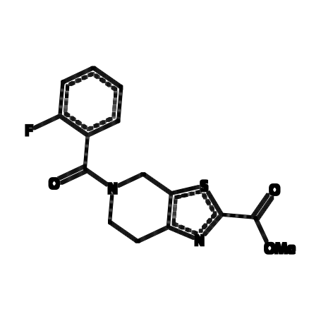 COC(=O)c1nc2c(s1)CN(C(=O)c1ccccc1F)CC2